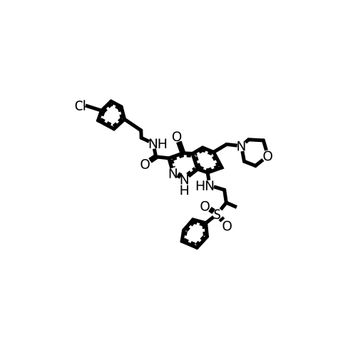 CC(CNc1cc(CN2CCOCC2)cc2c(=O)c(C(=O)NCCc3ccc(Cl)cc3)n[nH]c12)S(=O)(=O)c1ccccc1